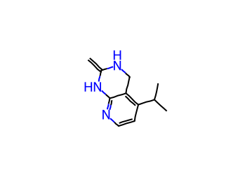 C=C1NCc2c(C(C)C)ccnc2N1